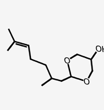 CC(C)=CCCC(C)CC1OCC(O)CO1